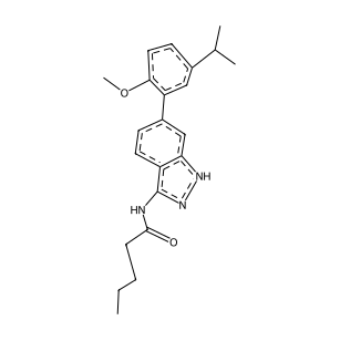 CCCCC(=O)Nc1n[nH]c2cc(-c3cc(C(C)C)ccc3OC)ccc12